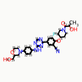 CC(O)C(=O)N1CC[C@H](Oc2ccc(-c3ncnc(Nc4ccc(N5CCOC(CO)C5)cc4)n3)cc2C#N)[C@H](F)C1